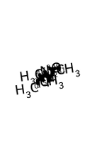 CCCC(C)(C)c1ncc(OC)cc1F